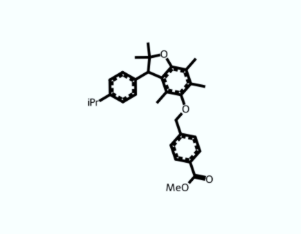 COC(=O)c1ccc(COc2c(C)c(C)c3c(c2C)C(c2ccc(C(C)C)cc2)C(C)(C)O3)cc1